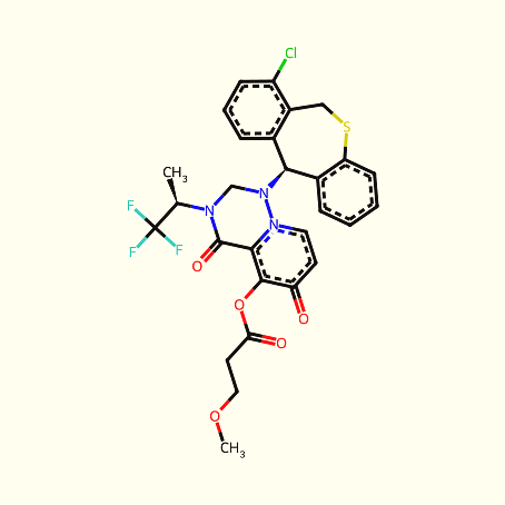 COCCC(=O)Oc1c2n(ccc1=O)N([C@@H]1c3ccccc3SCc3c(Cl)cccc31)CN([C@H](C)C(F)(F)F)C2=O